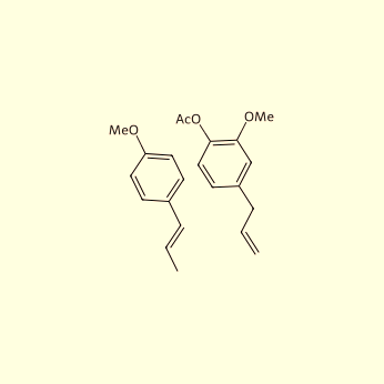 C=CCc1ccc(OC(C)=O)c(OC)c1.CC=Cc1ccc(OC)cc1